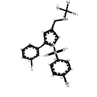 [2H]C([2H])([2H])NCc1cc(-c2cccc(F)c2)n(S(=O)(=O)c2ccc(Br)cc2)c1